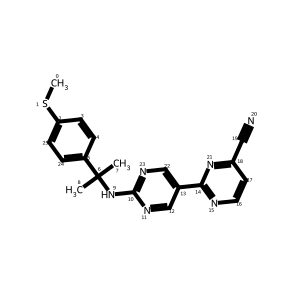 CSc1ccc(C(C)(C)Nc2ncc(-c3nccc(C#N)n3)cn2)cc1